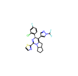 Fc1ccc([C@@H]2N=C(c3nccs3)N3C(=C2c2cnn(C(F)F)c2)CC2CCCC23)c(Cl)c1